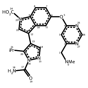 CNCc1cc(Oc2ccc3c(c2)c(-c2[c]nn(C(N)=O)c2C(C)C)cn3C(=O)O)ncn1